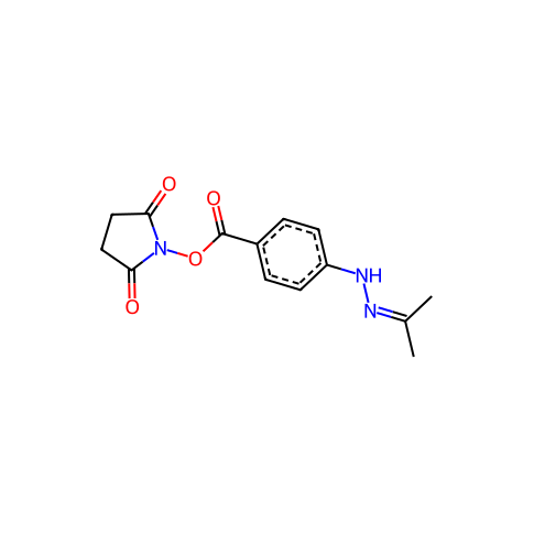 CC(C)=NNc1ccc(C(=O)ON2C(=O)CCC2=O)cc1